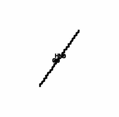 CCCCCCCCCCCCCCCCCC(=O)NCCOC(=O)CCCCCCCCCCCCCCCCC